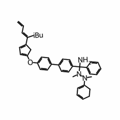 C=C/C=C(/C1=CC=C(Oc2ccc(-c3ccc(C(N)(c4ccccc4)N(C)N(C)C4=CC=CCC4)cc3)cc2)C1)C(C)CC